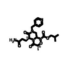 CC(C)COC(=O)N1O[C@H](C)C(=O)N2C1CN(Cc1ccncc1)C(=O)[C@@H]2CCC(N)=O